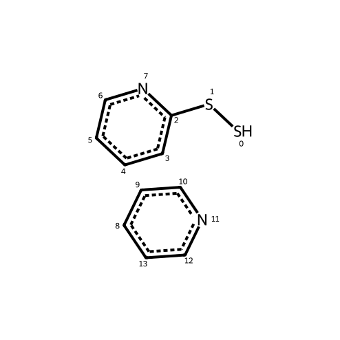 SSc1ccccn1.c1ccncc1